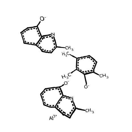 Cc1ccc(C)c([O-])c1C.Cc1ccc2cccc([O-])c2n1.Cc1ccc2cccc([O-])c2n1.[Al+3]